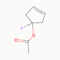 CC(=O)OC1(I)CC=CC1